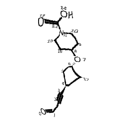 O=CC#C[C@H]1C[C@H](OC2CCN(C(=O)O)CC2)C1